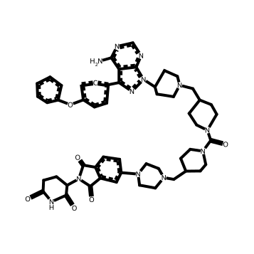 Nc1ncnc2c1c(-c1ccc(Oc3ccccc3)cc1)nn2C1CCN(CC2CCN(C(=O)N3CCC(CN4CCN(c5ccc6c(c5)C(=O)N(C5CCC(=O)NC5=O)C6=O)CC4)CC3)CC2)CC1